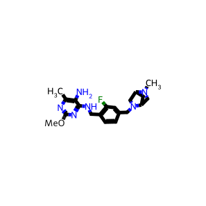 COc1nc(C)c(N)c(NCc2ccc(CN3CC4CC3CN4C)cc2F)n1